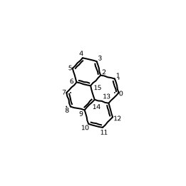 [c]1[c]c2cccc3[c][c]c4cccc1c4c23